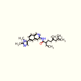 C=C(CCC(CC)C(=O)Nc1cc2cc(-c3cnc(C)n3C)ccc2cn1)CC(C)C